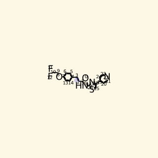 O=C(/C=C/c1ccc(OCC(F)F)cc1)Nc1nc(-c2ccncc2)cs1